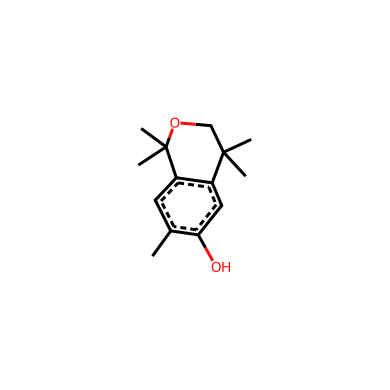 Cc1cc2c(cc1O)C(C)(C)COC2(C)C